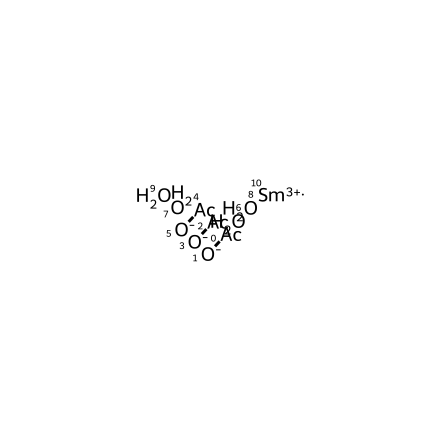 CC(=O)[O-].CC(=O)[O-].CC(=O)[O-].O.O.O.O.[Sm+3]